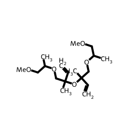 C=CC(C)(COC(C)COC)OC(C)(C=C)COC(C)COC